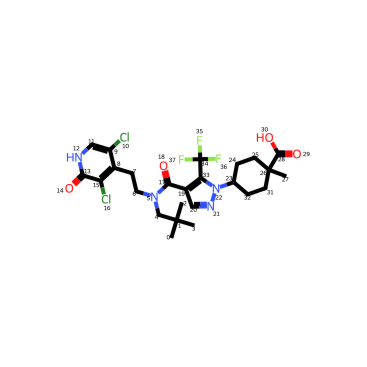 CC(C)(C)CN(CCc1c(Cl)c[nH]c(=O)c1Cl)C(=O)c1cnn(C2CCC(C)(C(=O)O)CC2)c1C(F)(F)F